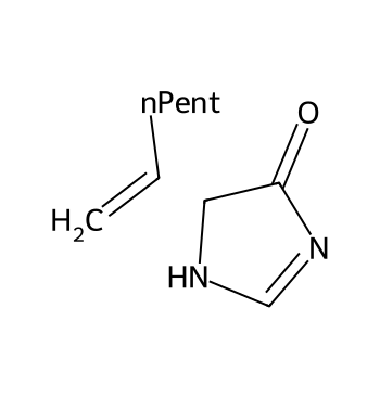 C=CCCCCC.O=C1CNC=N1